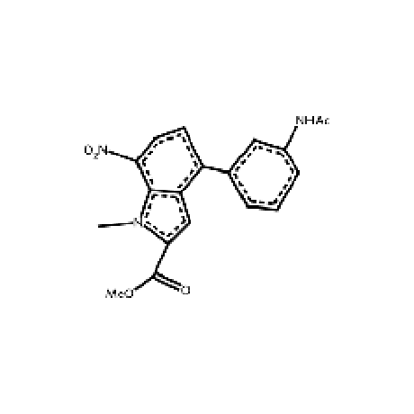 COC(=O)c1cc2c(-c3cccc(NC(C)=O)c3)ccc([N+](=O)[O-])c2n1C